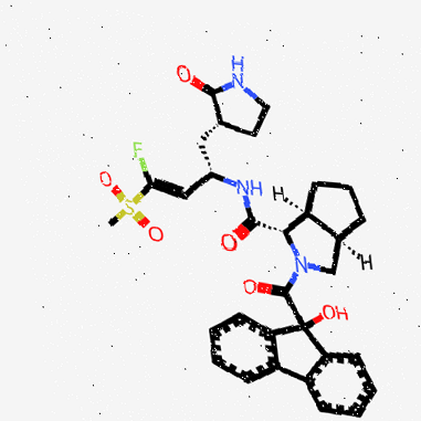 CS(=O)(=O)/C(F)=C/[C@H](C[C@H]1CCNC1=O)NC(=O)[C@@H]1[C@H]2CCC[C@H]2CN1C(=O)C1(O)c2ccccc2-c2ccccc21